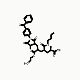 CCCCOC(=O)C(CC(C)C(=O)O)CC(CC1C(=O)N(c2ccc(C(=O)c3ccccc3)cc2)C(=O)C1C)C(=O)OCCO